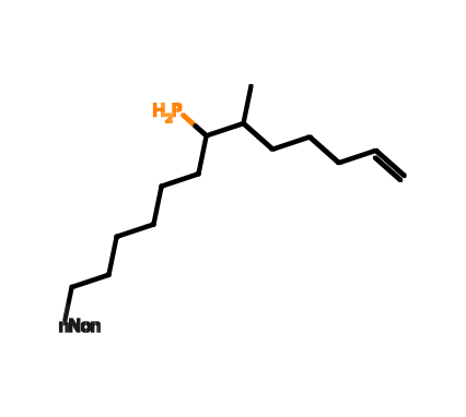 C=CCCCC(C)C(P)CCCCCCCCCCCCCCC